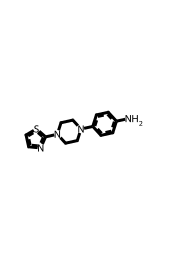 Nc1ccc(N2CCN(c3nccs3)CC2)cc1